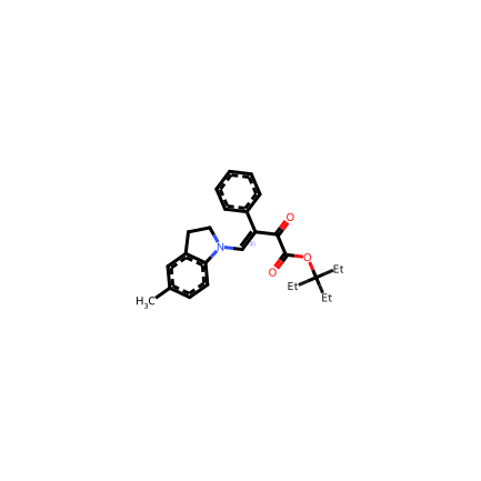 CCC(CC)(CC)OC(=O)C(=O)/C(=C/N1CCc2cc(C)ccc21)c1ccccc1